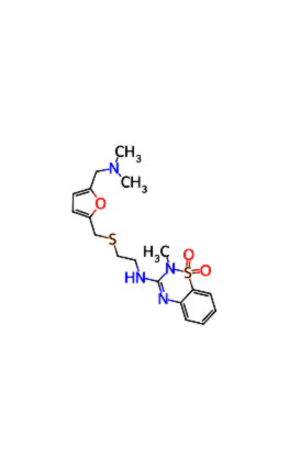 CN(C)Cc1ccc(CSCCNC2=Nc3ccccc3S(=O)(=O)N2C)o1